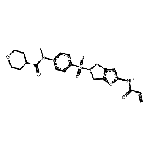 C=CC(=O)Nc1cc2c(o1)CN(S(=O)(=O)c1ccc(N(C)C(=O)C3CCOCC3)cc1)C2